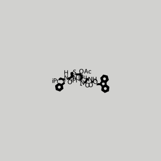 CCC(C)[C@H](NC(=O)OCC1c2ccccc2-c2ccccc21)C(=O)N(C)[C@H](C[C@H](OC(C)=O)c1nc(C(=O)N[C@@H](Cc2ccccc2)CC(C)C)cs1)C(C)C